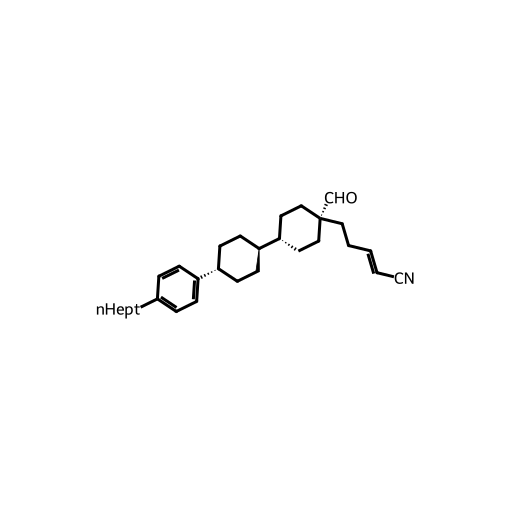 CCCCCCCc1ccc([C@H]2CC[C@H]([C@H]3CC[C@](C=O)(CCC=CC#N)CC3)CC2)cc1